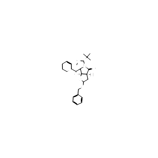 CC(C)(C)[C@@H]1OC[C@]2([C@H](O)[C@@H]3C=CCCC3)N1C(=O)[C@@H]1CC(OCc3ccccc3)O[C@@]12C